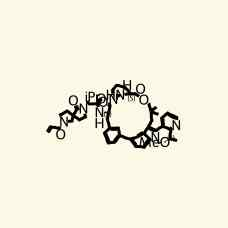 C=CC(=O)N1CCC2(CCN(C(C(=O)N[C@H]3Cc4cccc(c4)-c4ccc5c(c4)c(c(-c4cccnc4[C@H](C)OC)n5C)CC(C)(C)COC(=O)[C@@H]4CCCN(N4)C3=O)C(C)C)C2=O)C1